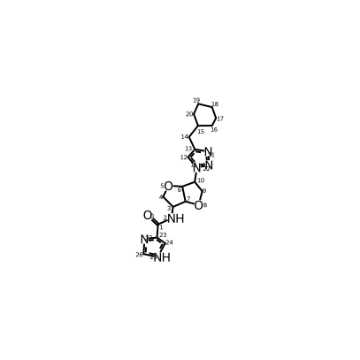 O=C(NC1COC2C1OCC2n1cc(CC2CCCCC2)nn1)c1c[nH]cn1